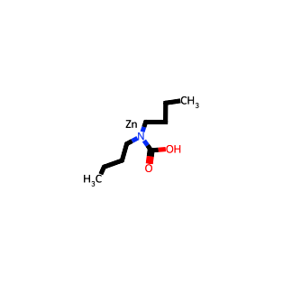 CCCCN(CCCC)C(=O)O.[Zn]